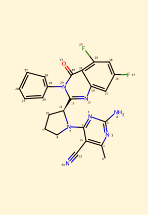 Cc1nc(N)nc(N2CCC[C@H]2c2nc3cc(F)cc(F)c3c(=O)n2-c2ccccc2)c1C#N